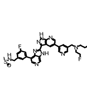 CS(=O)(=O)NCc1cc(F)cc(-c2cncc3[nH]c(-c4n[nH]c5ncc(-c6cncc(CN(CCF)CCCF)c6)cc45)nc23)c1